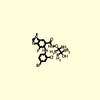 BC(B)(O)C(B)(B)ONC(=O)c1cc2c(ncn2C)c(F)c1Nc1ccc(Br)cc1Cl